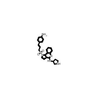 Nc1ccc(C=CCS(=O)(=O)n2ccc3c(NC4CCNC4)nc4ccccc4c32)cc1